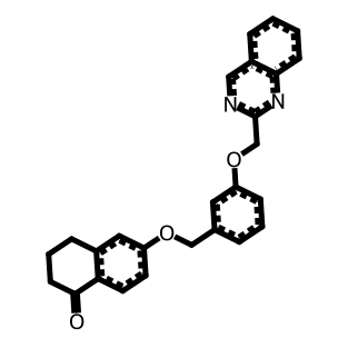 O=C1CCCc2cc(OCc3cccc(OCc4ncc5ccccc5n4)c3)ccc21